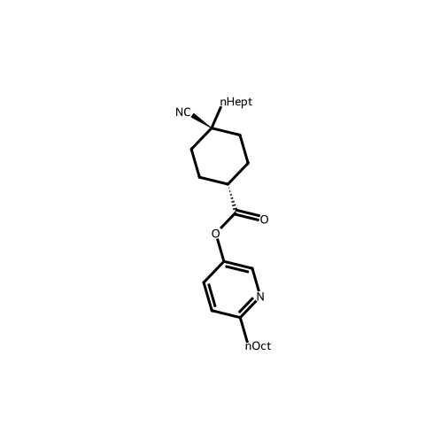 CCCCCCCCc1ccc(OC(=O)[C@H]2CC[C@@](C#N)(CCCCCCC)CC2)cn1